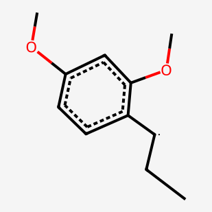 CC[CH]c1ccc(OC)cc1OC